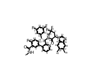 CNC(=O)c1cc(-c2cccnc2[C@H](Cc2cc(F)cc(F)c2)NC(=O)C(CC(F)(F)F)n2cnc3cc(C)c(C)cc32)ccc1F